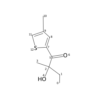 CCC(C)(O)C(=O)c1cc(C)cs1